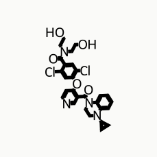 O=C(c1cc(Cl)c(Oc2ccncc2C(=O)N2CCN(C3CC3)c3ccccc32)cc1Cl)N(CCO)CCO